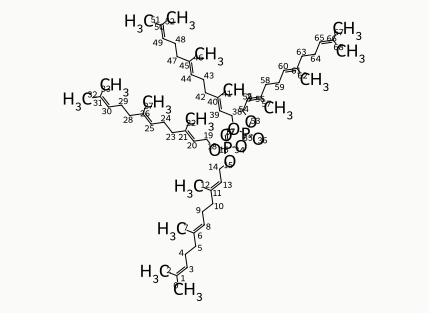 CC(C)=CCC/C(C)=C/CC/C(C)=C/COP(=O)(OC/C=C(\C)CC/C=C(\C)CCC=C(C)C)OP(=O)(OC/C=C(\C)CC/C=C(\C)CCC=C(C)C)OC/C=C(\C)CC/C=C(\C)CCC=C(C)C